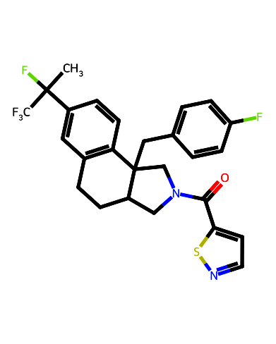 CC(F)(c1ccc2c(c1)CCC1CN(C(=O)c3ccns3)CC21Cc1ccc(F)cc1)C(F)(F)F